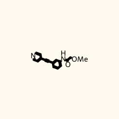 COCC(=O)Nc1cccc(C#Cc2ccncc2)c1